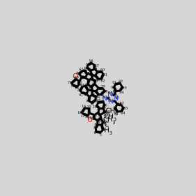 CC1(C)c2ccccc2-c2c1c1c(c3c2oc2ccccc23)-c2ccc(N(c3ccc4c(c3)C3(c5ccccc5-c5ccccc53)c3cc5c(cc3-4)C3(c4ccccc4-c4ccccc43)c3ccc4oc6ccccc6c4c3-5)c3nc(-c4ccccc4)nc(-c4ccccc4)n3)cc2C1(C)C